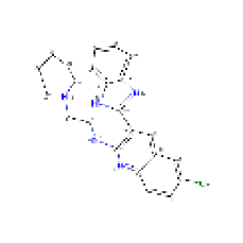 Clc1ccc2nc(NCCN3CCCCC3)c(-c3nc4ccccc4[nH]3)cc2c1